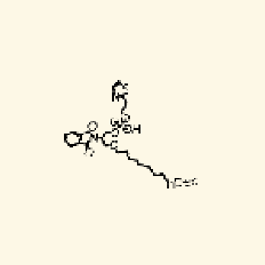 CCCCCCCCCCCCCCCCCCOCC(COP(=O)(O)OCCc1nccs1)N1C(=O)c2ccccc2C1=O